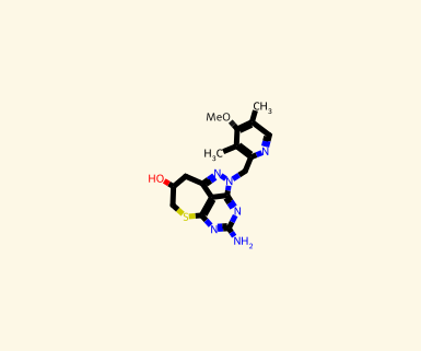 COc1c(C)cnc(Cn2nc3c4c(nc(N)nc42)SCC(O)C3)c1C